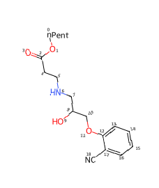 CCCCCOC(=O)CCNCC(O)COc1ccccc1C#N